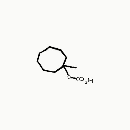 CC1(OC(=O)O)CCCCCCC1